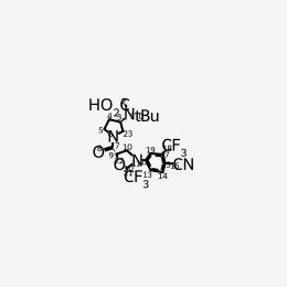 CC(C)(C)N(C(=O)O)[C@@H]1CCN(C(=O)[C@@H]2CN(c3ccc(C#N)c(C(F)(F)F)c3)[C@@H](C(F)(F)F)O2)C1